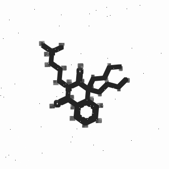 CCCCC1(CCCC)C(=O)N(CCCN(C)C)C(=O)c2ccccc21